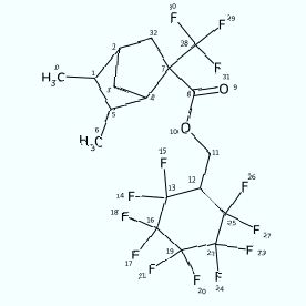 CC1C2CC(C1C)C(C(=O)OCC1C(F)(F)C(F)(F)C(F)(F)C(F)(F)C1(F)F)(C(F)(F)F)C2